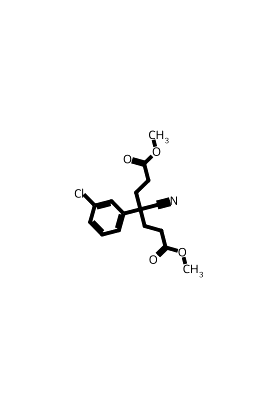 COC(=O)CCC(C#N)(CCC(=O)OC)c1cccc(Cl)c1